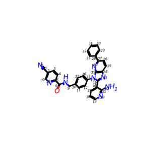 N#Cc1ccc(C(=O)NCc2ccc(-n3c(-c4cccnc4N)nc4ccc(-c5ccccc5)nc43)cc2)nc1